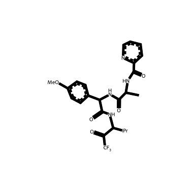 COc1ccc(C(NC(=O)C(C)NC(=O)c2ccccn2)C(=O)NC(C(=O)C(F)(F)F)C(C)C)cc1